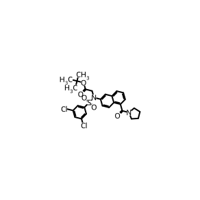 CC(C)(C)OC(=O)CN(c1ccc2c(C(=O)N3CCCC3)cccc2c1)S(=O)(=O)c1cc(Cl)cc(Cl)c1